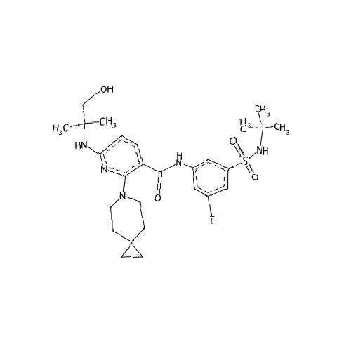 CC(C)(C)NS(=O)(=O)c1cc(F)cc(NC(=O)c2ccc(NC(C)(C)CO)nc2N2CCC3(CC2)CC3)c1